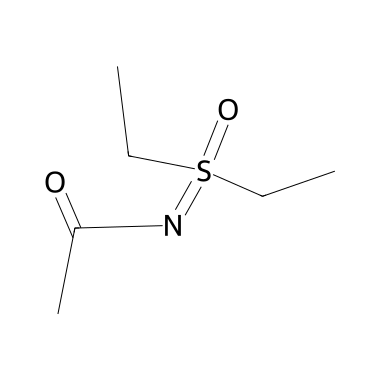 CCS(=O)(CC)=NC(C)=O